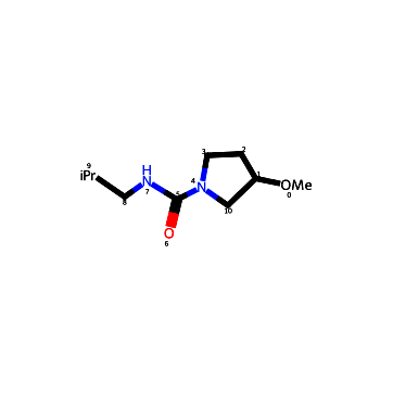 COC1CCN(C(=O)NCC(C)C)C1